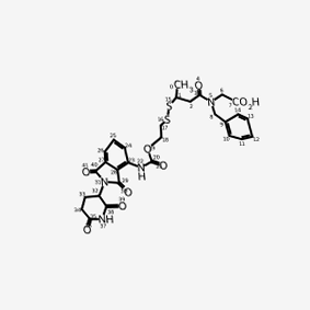 CC(CC(=O)N(CC(=O)O)Cc1ccccc1)SSCCOC(=O)Nc1cccc2c1C(=O)N(C1CCC(=O)NC1=O)C2=O